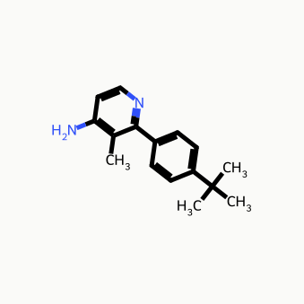 Cc1c(N)ccnc1-c1ccc(C(C)(C)C)cc1